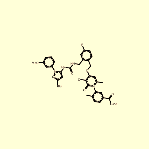 COC(=O)c1ccc(C)c(-n2c(C)cc(OCc3ccc(F)cc3CNC(=O)Nc3cc(C(C)(C)C)nn3-c3cccc(OC)c3)c(Cl)c2=O)c1